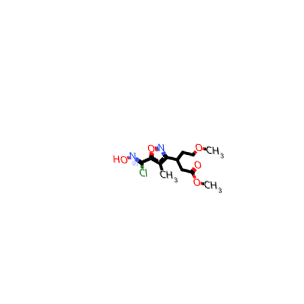 COCCC(CC(=O)OC)c1noc(/C(Cl)=N/O)c1C